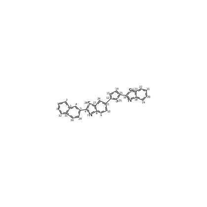 c1ccc2cc(-c3nc4ccc(-c5ccc(-c6nc7ccccc7s6)s5)cc4s3)ccc2c1